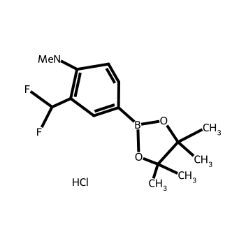 CNc1ccc(B2OC(C)(C)C(C)(C)O2)cc1C(F)F.Cl